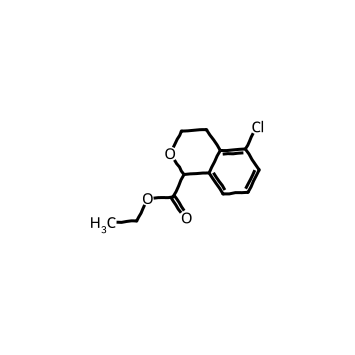 CCOC(=O)C1OCCc2c(Cl)cccc21